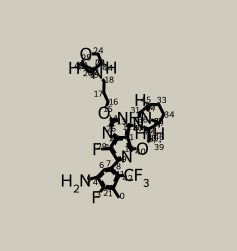 Cc1c(F)c(N)cc(-c2nc3c4c(nc(OCCCN5C[C@@H]6C[C@H]5CO6)nc4c2F)N2C[C@H]4CC[C@H](N4)[C@H]2[C@H](C)O3)c1C(F)(F)F